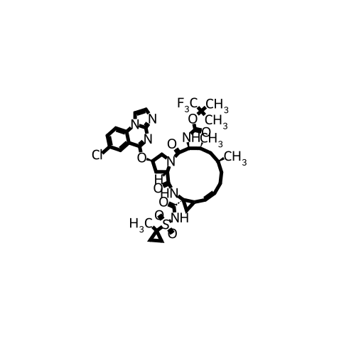 C[C@H]1CC/C=C\C2C[C@@]2(C(=O)NS(=O)(=O)C2(C)CC2)NC(=O)[C@@H]2C[C@@H](Oc3nc4nccn4c4ccc(Cl)cc34)CN2C(=O)[C@@H](NC(=O)OC(C)(C)C(F)(F)F)[C@H](C)C1